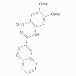 CNc1cc(OC)c(OC)cc1NC(=O)c1cnc2ccccc2c1